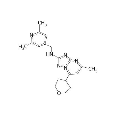 Cc1cc(CNc2nc3nc(C)cc(C4CCOCC4)n3n2)cc(C)n1